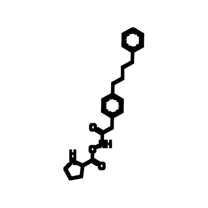 O=C(Cc1ccc(CCCCc2ccccc2)cc1)NOC(=O)C1CCCN1